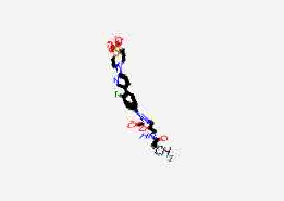 CCC(=O)NCC1CN(c2ccc(-c3ccc(N4CCS(=O)(=O)CC4)nc3)c(F)c2)C(=O)O1